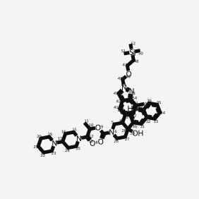 Cc1cc(C2CN(C(=O)OC(C)C(=O)N3CCC(N4CCCCC4)CC3)CCC2(O)c2cc3ccccc3[nH]c2=O)cc2cn(COCC[Si](C)(C)C)nc12